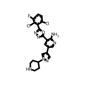 Nc1ncc(-c2cnn(C3CCNCC3)c2)cc1-c1nnc(-c2c(Cl)ccc(F)c2Cl)o1